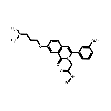 COc1cccc(-c2cc3ccc(OCCCN(C)C)cc3c(=O)n2CC(=O)NC(C)C)c1